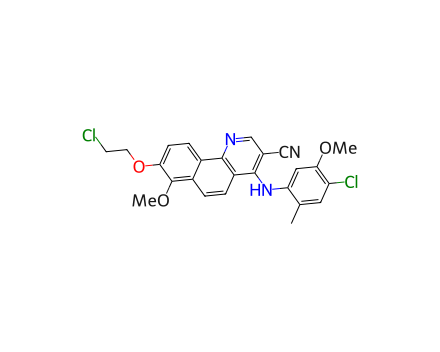 COc1cc(Nc2c(C#N)cnc3c2ccc2c(OC)c(OCCCl)ccc23)c(C)cc1Cl